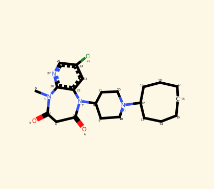 CN1C(=O)CC(=O)N(C2CCN(C3CCCCCCC3)CC2)c2cc(Cl)cnc21